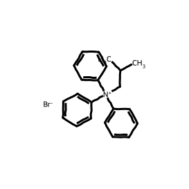 CC(C)C[N+](c1ccccc1)(c1ccccc1)c1ccccc1.[Br-]